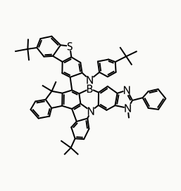 Cn1c(-c2ccccc2)nc2cc3c(cc21)-n1c2ccc(C(C)(C)C)cc2c2c4c(c5c(c21)B3N(c1ccc(C(C)(C)C)cc1)c1cc2sc3ccc(C(C)(C)C)cc3c2cc1-5)C(C)(C)c1ccccc1-4